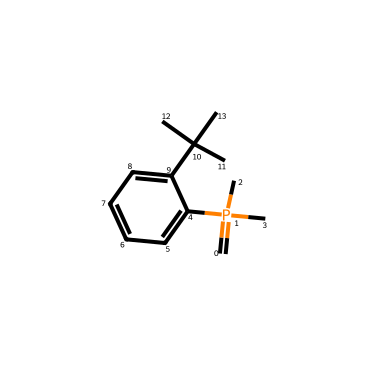 C=P(C)(C)c1ccccc1C(C)(C)C